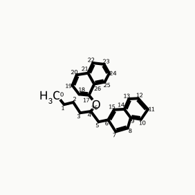 C[CH]CCC(Cc1ccc2ccccc2c1)Oc1cccc2ccccc12